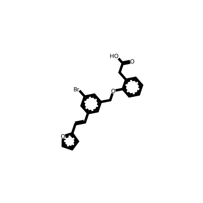 O=C(O)Cc1ccccc1OCc1cc(Br)cc(C=Cc2ccco2)c1